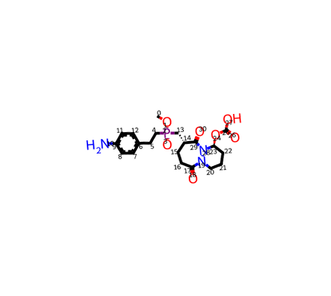 COP(=O)(CCc1ccc(N)cc1)C[C@H]1CCC(=O)N2CCC[C@H](OC(=O)O)N2C1=O